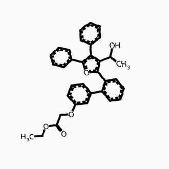 CCOC(=O)COc1cccc(-c2ccccc2-c2oc(-c3ccccc3)c(-c3ccccc3)c2C(C)O)c1